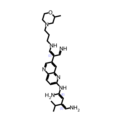 CC1CN(CCCN/C=C(\C=N)c2cnc3ccc(N/C(N)=C/C(=C\N)C(C)C)nc3c2)CCO1